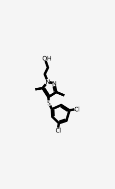 Cc1nn(CCO)c(C)c1Sc1cc(Cl)cc(Cl)c1